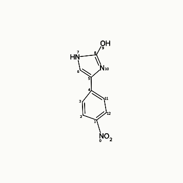 O=[N+]([O-])c1ccc(-c2c[nH]c(O)n2)cc1